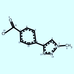 Cn1cc(-c2ccc(C(=O)Cl)cc2)nn1